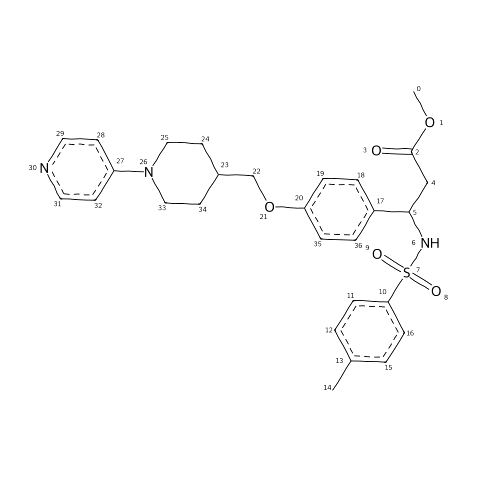 COC(=O)CC(NS(=O)(=O)c1ccc(C)cc1)c1ccc(OCC2CCN(c3ccncc3)CC2)cc1